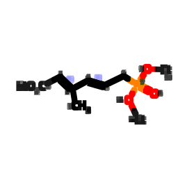 CCOC(=O)/C=C(C)/C=C/CP(=O)(OCC)OCC